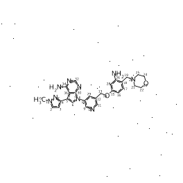 Cn1ccc(-c2cn(-c3cncc(COc4ccc(CN5CCOCC5)c(N)c4)c3)c3ncnc(N)c23)n1